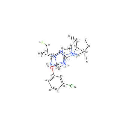 Cc1cc(N2C[C@H]3CC[C@@H](C2)[C@H]3Nc2nc(Oc3cccc(Cl)c3)n(CCF)n2)ncn1